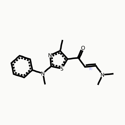 Cc1nc(N(C)c2ccccc2)sc1C(=O)/C=C/N(C)C